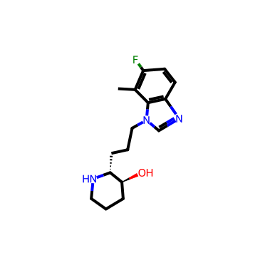 Cc1c(F)ccc2ncn(CCC[C@H]3NCCC[C@@H]3O)c12